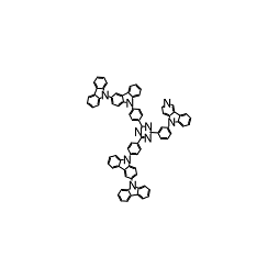 c1cc(-c2nc(-c3ccc(-n4c5ccccc5c5cc(-n6c7ccccc7c7ccccc76)ccc54)cc3)nc(-c3ccc(-n4c5ccccc5c5cc(-n6c7ccccc7c7ccccc76)ccc54)cc3)n2)cc(-n2c3ccccc3c3cnccc32)c1